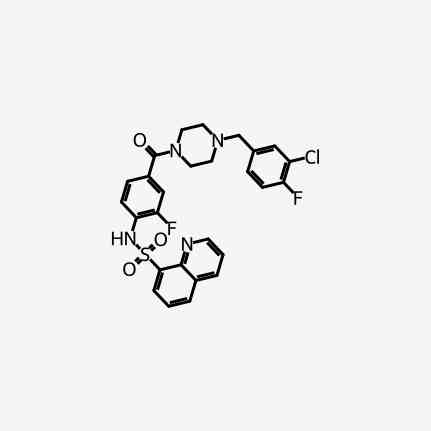 O=C(c1ccc(NS(=O)(=O)c2cccc3cccnc23)c(F)c1)N1CCN(Cc2ccc(F)c(Cl)c2)CC1